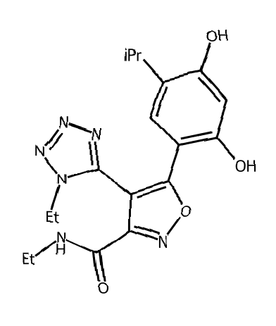 CCNC(=O)c1noc(-c2cc(C(C)C)c(O)cc2O)c1-c1nnnn1CC